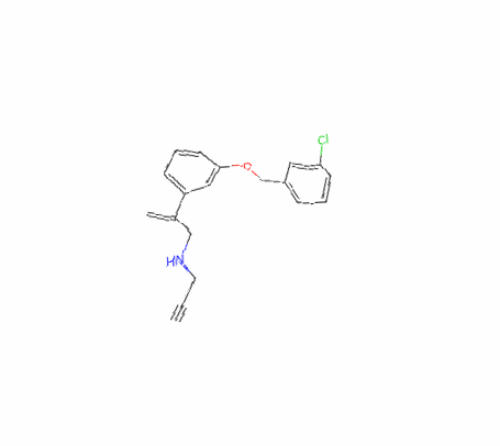 C#CCNCC(=C)c1cccc(OCc2cccc(Cl)c2)c1